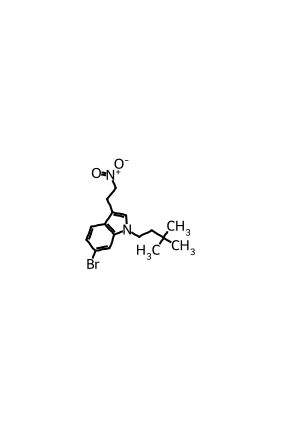 CC(C)(C)CCn1cc(CC[N+](=O)[O-])c2ccc(Br)cc21